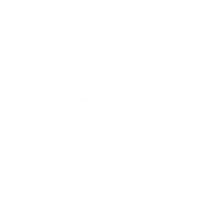 Cc1cc2ccc(-c3nccc(Nc4ccc(N)c(C=N)c4)n3)cc2[nH]1